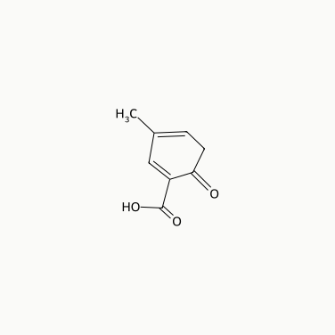 CC1=CCC(=O)C(C(=O)O)=C1